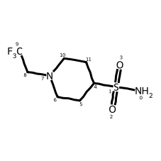 NS(=O)(=O)C1CCN(CC(F)(F)F)CC1